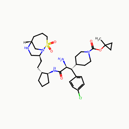 CC1(OC(=O)N2CCC([C@H](c3ccc(Cl)cc3)[C@H](N)C(=O)N[C@H]3CCC[C@@H]3CC[C@H]3CN[C@@H]4CCCS(=O)(=O)N3C4)CC2)CC1